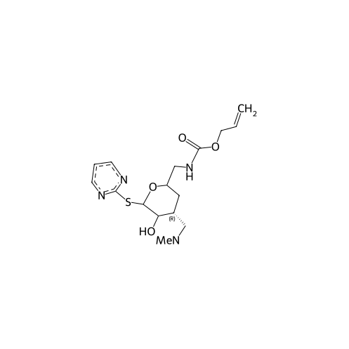 C=CCOC(=O)NCC1C[C@H](CNC)C(O)C(Sc2ncccn2)O1